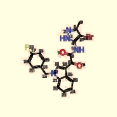 Cc1n[nH]c(NC(=O)C(=O)c2cn(Cc3ccc(F)cc3)c3ccccc23)c1Br